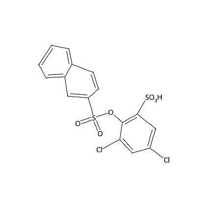 O=S(=O)(O)c1cc(Cl)cc(Cl)c1OS(=O)(=O)c1ccc2ccccc2c1